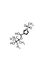 CC(C)(O)C(C)(C)OB(O)c1ccn(S(C)(=O)=O)c1